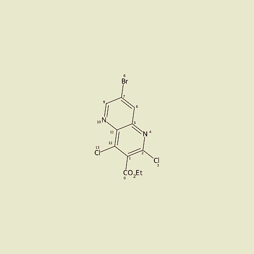 CCOC(=O)c1c(Cl)nc2cc(Br)cnc2c1Cl